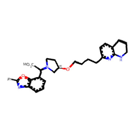 CC(C)c1nc2cccc(C(C(=O)O)N3CC[C@@H](OCCCCc4ccc5c(n4)NCCC5)C3)c2o1